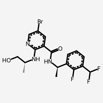 C[C@H](CO)Nc1ncc(Br)cc1C(=O)N[C@H](C)c1cccc(C(F)F)c1F